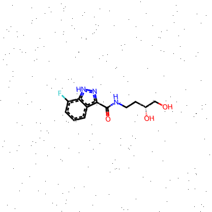 O=C(NCC[C@@H](O)CO)c1n[nH]c2c(F)cccc12